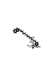 CS(=O)(=O)Nc1cc(CC(O)NCCCCCCOCCCCOc2ccc3ccccc3c2)ccc1O